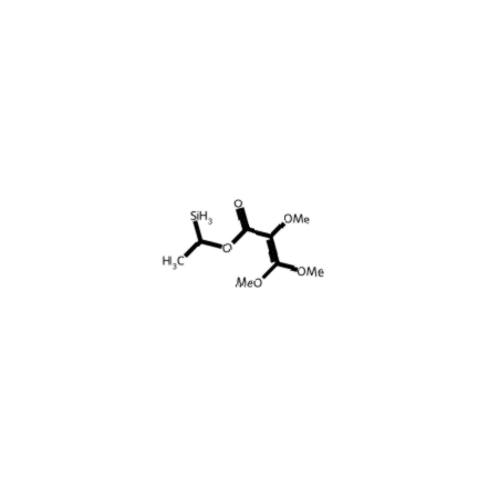 COC(OC)=C(OC)C(=O)OC(C)[SiH3]